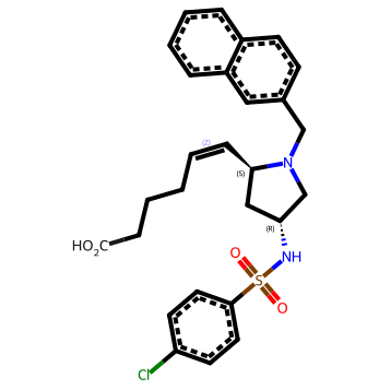 O=C(O)CCC/C=C\[C@@H]1C[C@@H](NS(=O)(=O)c2ccc(Cl)cc2)CN1Cc1ccc2ccccc2c1